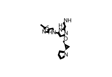 Cc1ncc(CNC2=CC(OC[C@H]3C[C@@H]3c3ccccn3)=N/C(=C/C=N)N2)s1